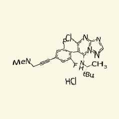 CNCC#Cc1cc(F)c(-c2c(Cl)nc3ncnn3c2N[C@H](C)C(C)(C)C)c(F)c1.Cl